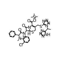 CC(c1nnn[nH]1)n1nnnc1SCC1=C(C(=O)O[Si](C)(C)C)N2C(=O)C(NC(=O)C(c3ccccc3)N(C)c3ccccc3Cl)[C@@H]2SC1